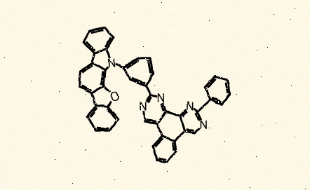 c1ccc(-c2ncc3c4ccccc4c4cnc(-c5cccc(-n6c7ccccc7c7ccc8c9ccccc9oc8c76)c5)nc4c3n2)cc1